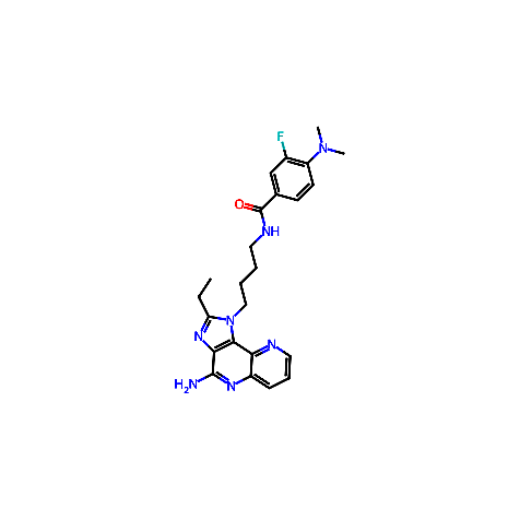 CCc1nc2c(N)nc3cccnc3c2n1CCCCNC(=O)c1ccc(N(C)C)c(F)c1